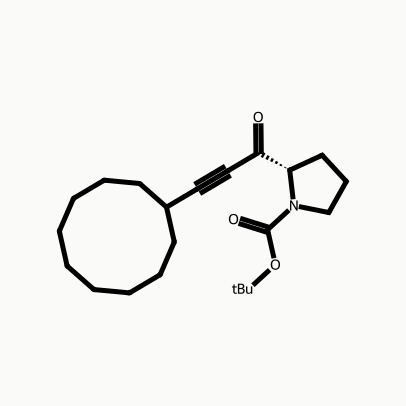 CC(C)(C)OC(=O)N1CCC[C@H]1C(=O)C#CC1CCCCCCCCC1